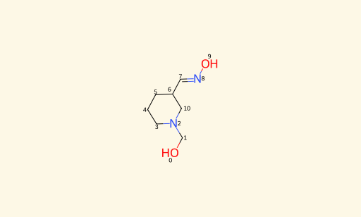 OCN1CCCC(C=NO)C1